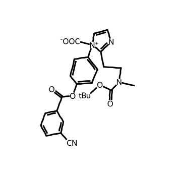 CN(CCC1=NC=C[N+]1(C(=O)[O-])c1ccc(OC(=O)c2cccc(C#N)c2)cc1)C(=O)OC(C)(C)C